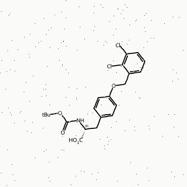 CC(C)(C)OC(=O)N[C@H](Cc1ccc(OCc2cccc(Cl)c2Cl)cc1)C(=O)O